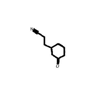 N#CCCC1CCCC(=O)C1